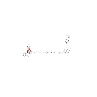 Cc1ncsc1-c1ccc(CNC(=O)[C@@H]2C[C@@H](O)CN2C(=O)[C@@H](NC(=O)COCCOCCOCCOCCOCCOCCOCCOc2cc(N3C4CCC3CN(c3cc(-c5ccccc5O)nnc3N)C4)ccn2)C(C)(C)C)cc1